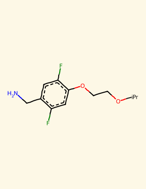 CC(C)OCCOc1cc(F)c(CN)cc1F